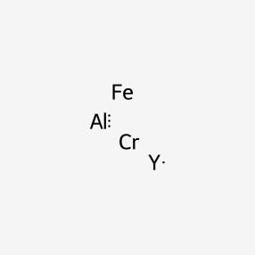 [Al].[Cr].[Fe].[Y]